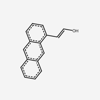 OC=Cc1cccc2cc3ccccc3cc12